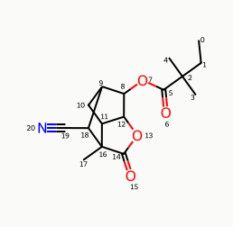 CCC(C)(C)C(=O)OC1C2CC3C1OC(=O)C3(C)C2C#N